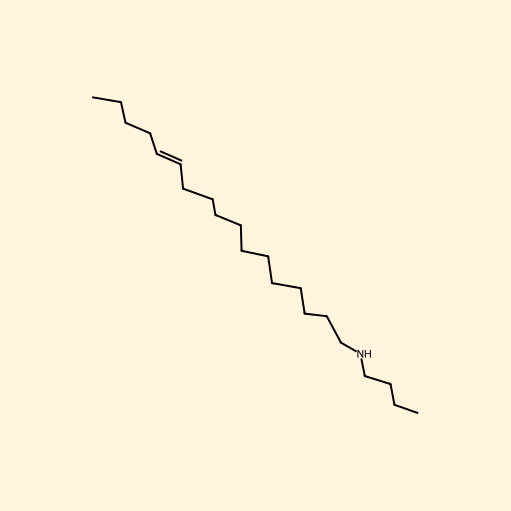 CCCCC=CCCCCCCCCCCCNCCCC